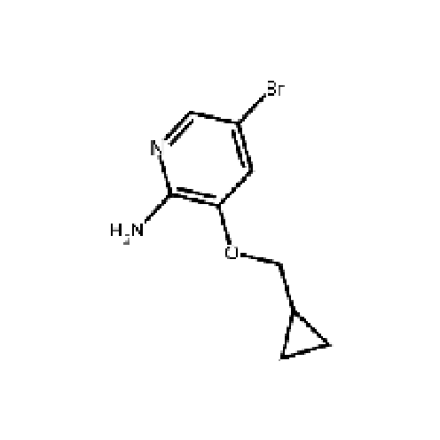 Nc1ncc(Br)cc1OCC1CC1